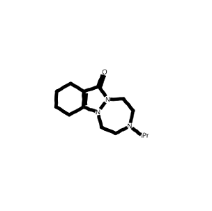 CC(C)N1CCn2c3c(c(=O)n2CC1)CCCC3